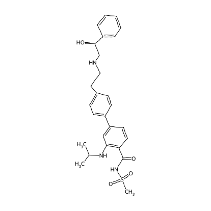 CC(C)Nc1cc(-c2ccc(CCNC[C@@H](O)c3ccccc3)cc2)ccc1C(=O)NS(C)(=O)=O